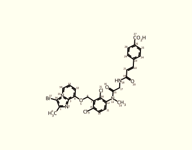 Cc1nc2c(OCc3c(Cl)ccc(N(C)C(=O)CNC(=O)/C=C/c4ccc(C(=O)O)cc4)c3Cl)cccn2c1Br